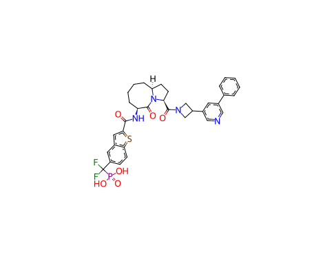 O=C(N[C@H]1CCCC[C@H]2CC[C@@H](C(=O)N3CC(c4cncc(-c5ccccc5)c4)C3)N2C1=O)c1cc2cc(C(F)(F)P(=O)(O)O)ccc2s1